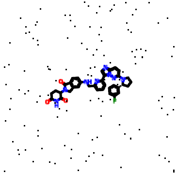 O=C1CCC(N2Cc3cc(NCc4cccc(-c5cnc6ccc(N7CCC[C@@H]7c7cccc(F)c7)nn56)n4)ccc3C2=O)C(=O)N1